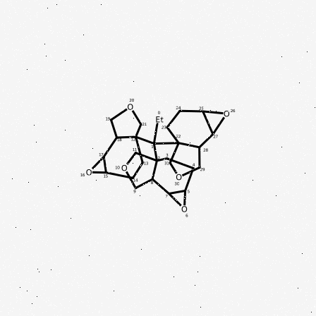 CCC(C12CCC3OC3C1COC2)(C12CCC3OC3C1COC2)C12CCC3OC3C1COC2